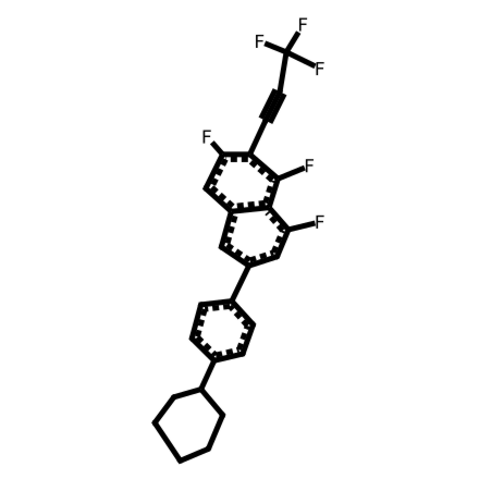 Fc1cc2cc(-c3ccc(C4CCCCC4)cc3)cc(F)c2c(F)c1C#CC(F)(F)F